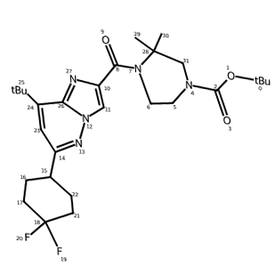 CC(C)(C)OC(=O)N1CCN(C(=O)c2cn3nc(C4CCC(F)(F)CC4)cc(C(C)(C)C)c3n2)C(C)(C)C1